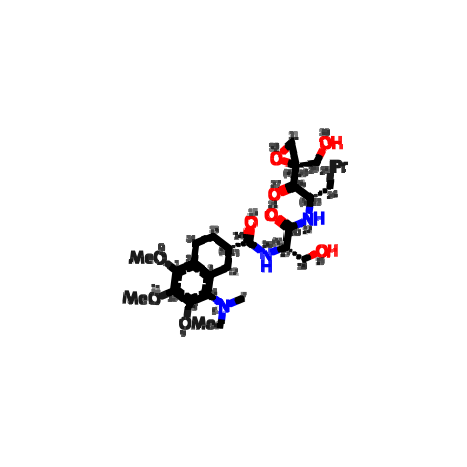 COc1c2c(c(N(C)C)c(OC)c1OC)C[C@@H](C(=O)N[C@@H](CO)C(=O)N[C@@H](CC(C)C)C(=O)[C@@]1(CO)CO1)CC2